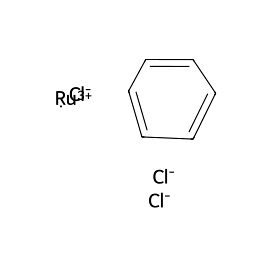 [Cl-].[Cl-].[Cl-].[Ru+3].c1ccccc1